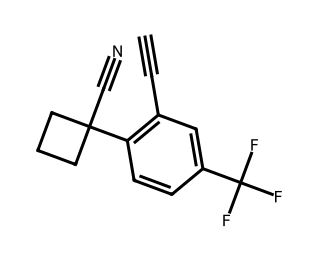 C#Cc1cc(C(F)(F)F)ccc1C1(C#N)CCC1